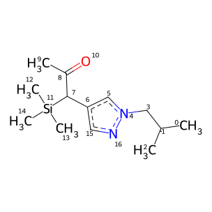 C[C](C)Cn1cc(C(C(C)=O)[Si](C)(C)C)cn1